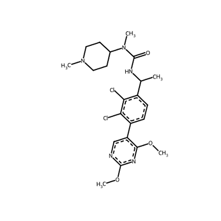 COc1ncc(-c2ccc(C(C)NC(=O)N(C)C3CCN(C)CC3)c(Cl)c2Cl)c(OC)n1